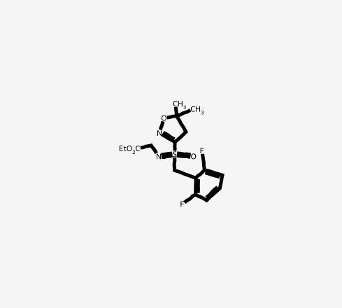 CCOC(=O)CN=S(=O)(Cc1c(F)cccc1F)C1=NOC(C)(C)C1